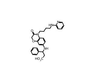 O=C(O)CC(Nc1ccc2c(c1)OCC(=O)N2CCCCNc1ccccn1)c1ccccc1